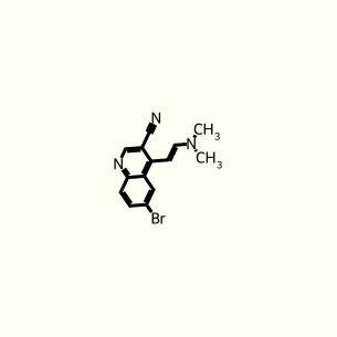 CN(C)C=Cc1c(C#N)cnc2ccc(Br)cc12